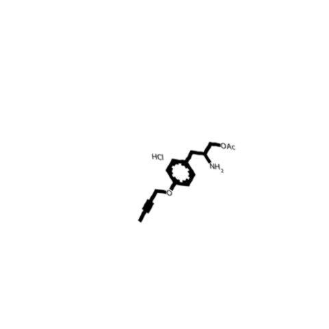 CC#CCOc1ccc(CC(N)COC(C)=O)cc1.Cl